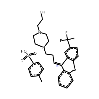 Cc1ccc(S(=O)(=O)O)cc1.OCCN1CCN(CC/C=C2/c3ccccc3Sc3ccc(C(F)(F)F)cc32)CC1